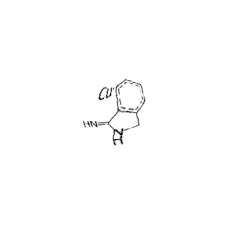 N=C1NCc2ccccc21.[Cu]